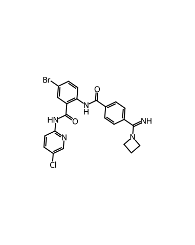 N=C(c1ccc(C(=O)Nc2ccc(Br)cc2C(=O)Nc2ccc(Cl)cn2)cc1)N1CCC1